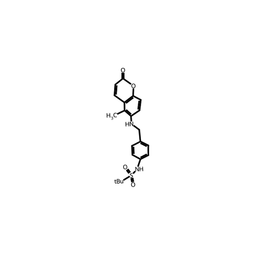 Cc1c(NCc2ccc(NS(=O)(=O)C(C)(C)C)cc2)ccc2oc(=O)ccc12